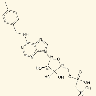 Cc1ccc(CNc2ncnc3c2ncn3[C@@H]2O[C@H](COP(=O)(O)CP(=O)(O)O)C(O)(O)[C@H]2O)cc1